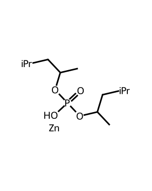 CC(C)CC(C)OP(=O)(O)OC(C)CC(C)C.[Zn]